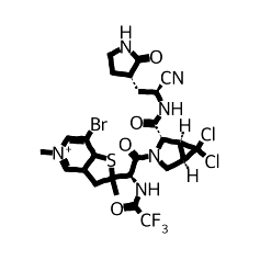 C[N+]1=CC2CC(C)([C@H](NC(=O)C(F)(F)F)C(=O)N3C[C@H]4[C@@H]([C@H]3C(=O)N[C@H](C#N)C[C@@H]3CCNC3=O)C4(Cl)Cl)SC2C(Br)=C1